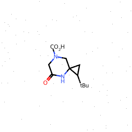 CC(C)(C)C1CC12CN(C(=O)O)CC(=O)N2